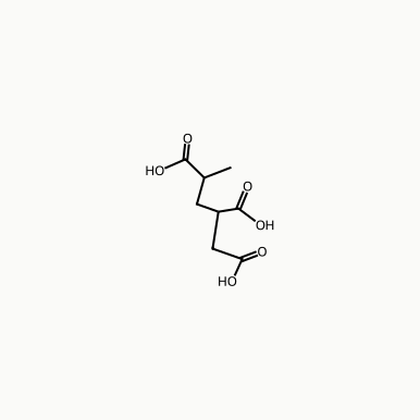 CC(CC(CC(=O)O)C(=O)O)C(=O)O